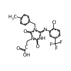 Cc1ccc(Cn2c(=O)n(CCC(=O)O)c(=O)[nH]/c2=N\c2cc(C(F)(F)F)ccc2Cl)cc1